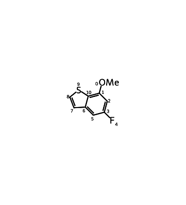 COc1cc(F)cc2ccsc12